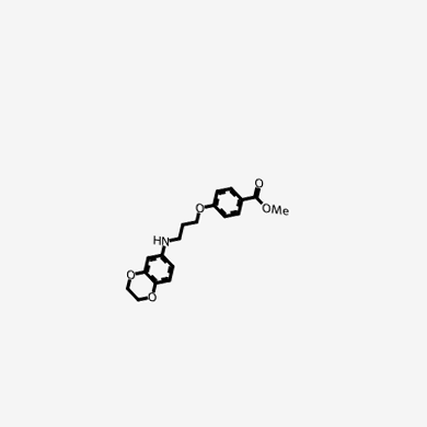 COC(=O)c1ccc(OCCCNc2ccc3c(c2)OCCO3)cc1